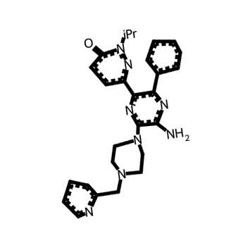 CC(C)n1nc(-c2nc(N3CCN(Cc4ccccn4)CC3)c(N)nc2-c2ccccc2)ccc1=O